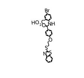 O=C(Nc1ccc(Br)cc1C(=O)O)c1ccc(OCCSc2nc3ccccc3s2)cc1